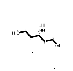 CCCCC[CH2][Al].[HH].[HH]